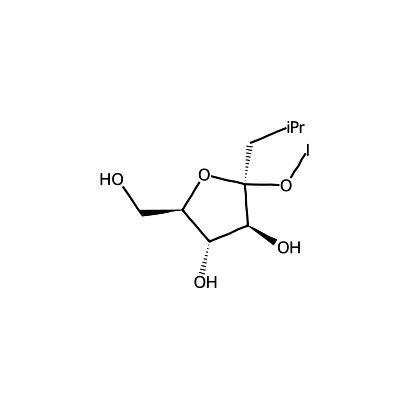 CC(C)C[C@@]1(OI)O[C@H](CO)[C@@H](O)[C@@H]1O